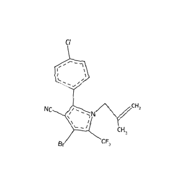 C=C(C)Cn1c(-c2ccc(Cl)cc2)c(C#N)c(Br)c1C(F)(F)F